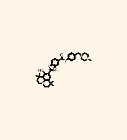 CN1CCN(Cc2ccc(NC(=O)c3ccc4nc(-c5cc6c7c(c5O)C(C)(C)CCN7CCC6(C)C)[nH]c4c3)cc2)CC1